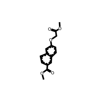 COC(=O)COc1ccc2cc(C(=O)OC)ccc2c1